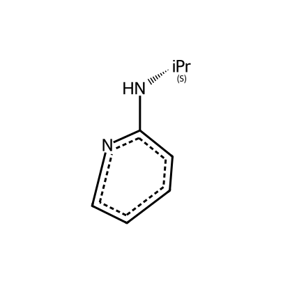 [CH2][C@@H](C)Nc1ccccn1